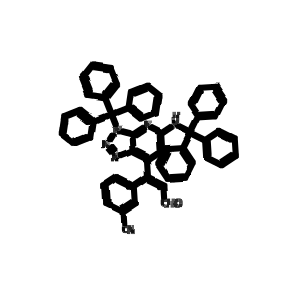 N#Cc1cccc(C(=CC=O)c2cc(NC(c3ccccc3)(c3ccccc3)c3ccccc3)nc3c2nnn3C(c2ccccc2)(c2ccccc2)c2ccccc2)c1